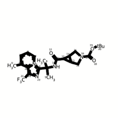 Cc1cccn2c(C(C)(C)NC(=O)C3C4CN(C(=O)OC(C)(C)C)CC43)nc(C(F)(F)F)c12